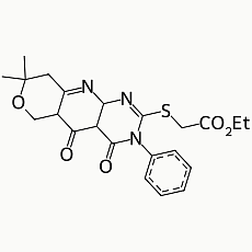 CCOC(=O)CSC1=NC2N=C3CC(C)(C)OCC3C(=O)C2C(=O)N1c1ccccc1